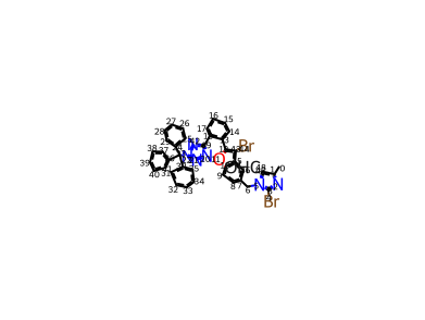 Cc1nc(Br)n(Cc2ccc3oc(-c4ccccc4-c4nnn(C(c5ccccc5)(c5ccccc5)c5ccccc5)n4)c(Br)c3c2)c1C=O